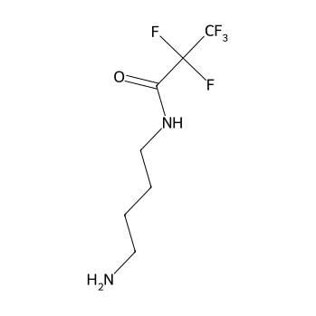 NCCCCNC(=O)C(F)(F)C(F)(F)F